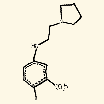 Cc1ccc(NCCN2CCCC2)cc1C(=O)O